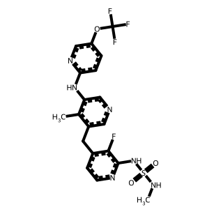 CNS(=O)(=O)Nc1nccc(Cc2cncc(Nc3ccc(OC(F)(F)F)cn3)c2C)c1F